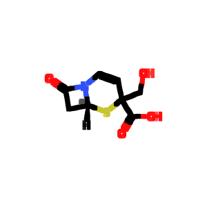 O=C1C[C@H]2SC(CO)(C(=O)O)C=CN12